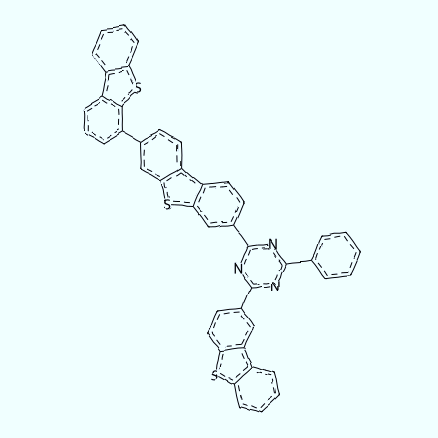 c1ccc(-c2nc(-c3ccc4c(c3)sc3cc(-c5cccc6c5sc5ccccc56)ccc34)nc(-c3ccc4sc5ccccc5c4c3)n2)cc1